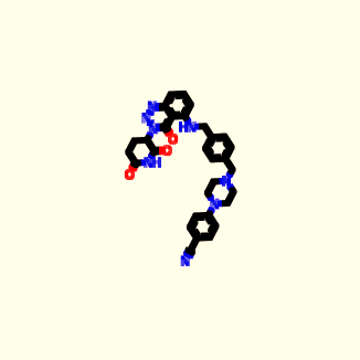 N#Cc1ccc(N2CCN(Cc3ccc(CNc4cccc5nnn(C6CCC(=O)NC6=O)c(=O)c45)cc3)CC2)cc1